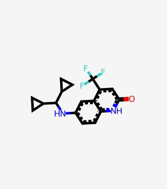 O=c1cc(C(F)(F)F)c2cc(NC(C3CC3)C3CC3)ccc2[nH]1